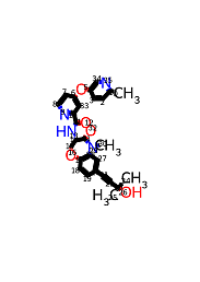 Cc1ccc(Oc2ccnc(C(=O)N[C@H]3COc4ccc(C#CC(C)(C)O)cc4N(C)C3=O)c2)cn1